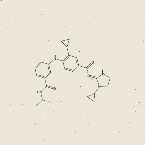 CC(C)NC(=O)c1cccc(Nc2ccc(C(=O)/N=C3\NCCN3C3CC3)cc2C2CC2)c1